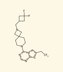 FC(F)(F)Cc1cc2c(N3CCC4(CC3)CN(CC3CC(F)(F)C3)C4)ncnc2s1